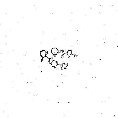 O=C(N[C@H]1CCC[C@@H](n2c(-c3ncccc3F)nc3cnc(-n4cncn4)cc32)C1)c1ccc(Br)s1